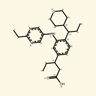 CCc1ncc(Nc2cc(C(CC)CC(=O)O)ccc2C(CC)C2CCOCC2)cn1